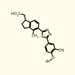 Cc1c(-c2nnc(-c3ccc(OC(C)C)c(C#N)c3)s2)ccc2c1CCC2CC(=O)O